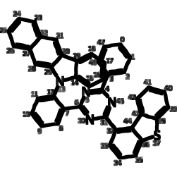 c1ccc(-c2nc(-c3ccccc3-n3c4ccccc4c4cc5ccccc5cc43)nc(-c3cccc4sc5ccccc5c34)n2)cc1